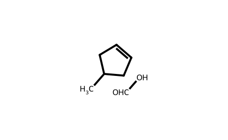 CC1CC=CC1.O=CO